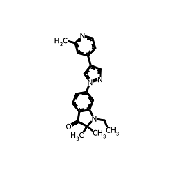 CCN1c2cc(-n3cc(-c4ccnc(C)c4)cn3)ccc2C(=O)C1(C)C